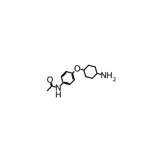 CC(=O)Nc1ccc(OC2CCC(N)CC2)cc1